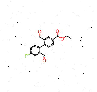 CCOC(=O)c1ccc(-c2ccc(F)cc2C=O)c(C=O)c1